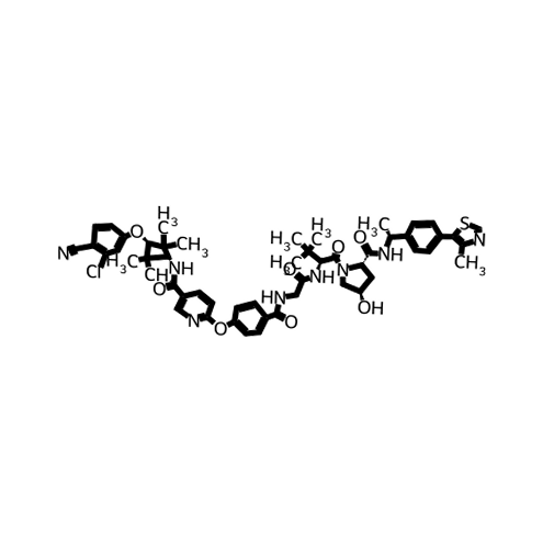 Cc1ncsc1-c1ccc([C@H](C)NC(=O)[C@@H]2C[C@@H](O)CN2C(=O)[C@@H](NC(=O)CNC(=O)c2ccc(Oc3ccc(C(=O)N[C@H]4C(C)(C)[C@H](Oc5ccc(C#N)c(Cl)c5)C4(C)C)cn3)cc2)C(C)(C)C)cc1